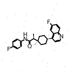 C[C@H](C(=O)Nc1ccc(F)cc1)[C@]1(C)CC[C@H](c2ccnc3ccc(F)cc32)CC1